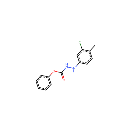 Cc1ccc(NNC(=O)Oc2ccccc2)cc1Cl